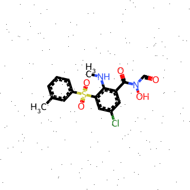 CNc1c(C(=O)N(O)C=O)cc(Cl)cc1S(=O)(=O)c1cccc(C)c1